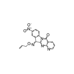 C=CCON=C1c2cc([N+](=O)[O-])ccc2-n2c1nc1ncccc1c2=O